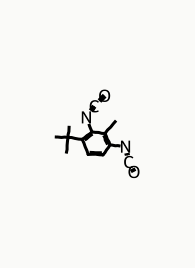 Cc1c(N=C=O)ccc(C(C)(C)C)c1N=C=O